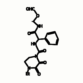 CCN1CCN(C(=O)NC(C(=O)N[CH]OC=O)c2ccccc2)C(=O)C1=O